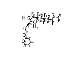 C[Si](C)(C#CCCOC1CCCCO1)C(F)C(F)(F)C(F)(F)C(F)(F)C(F)(F)C(F)C(F)C(F)F